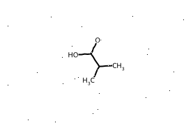 CC(C)C([O])O